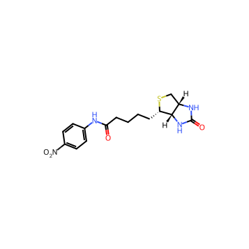 O=C(CCCC[C@@H]1SC[C@@H]2NC(=O)N[C@@H]21)Nc1ccc([N+](=O)[O-])cc1